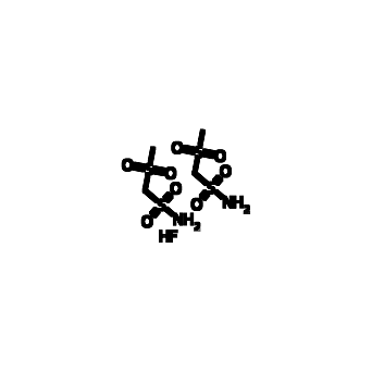 CS(=O)(=O)CS(N)(=O)=O.CS(=O)(=O)CS(N)(=O)=O.F